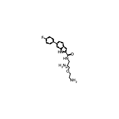 NCCOC[C@H](N)CNC(=O)c1cc2ccc(-c3ccc(F)cc3)cc2[nH]1